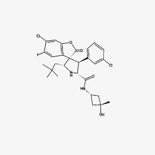 CC(C)(C)C[C@H]1N[C@@H](C(=O)N[C@H]2C[C@@](C)(O)C2)[C@H](c2cccc(Cl)c2)[C@@]12C(=O)Oc1cc(Cl)c(F)cc12